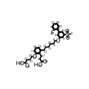 CS(=O)(=O)c1cc(OCCCCCCc2cccc(OCCCC(=O)O)c2CCC(=O)O)cc(-c2ccccc2F)c1